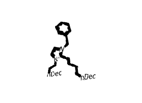 CCCCCCCCCCCCCCc1n(Cc2ccccc2)cc[n+]1CCCCCCCCCCCC